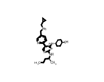 CCC[C@H](C)Nc1ncc(-c2ccc(CNCC3CC3)cn2)c(N[C@H]2CC[C@H](O)CC2)n1